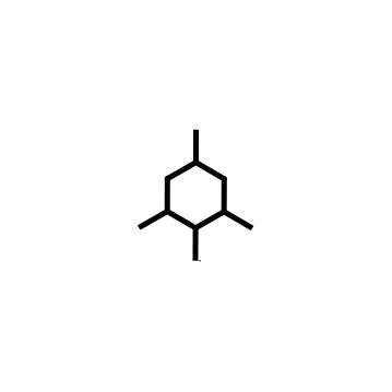 [CH2]C1C(C)CC(C)CC1C